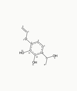 C=COc1ccc(C(C)O)c(O)c1O